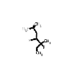 C=C(C)CC(F)C(C)(F)CC